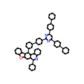 c1ccc(-c2ccc(-c3cc(-c4ccc(-c5ccccc5)cc4)nc(-c4ccc(-c5cccc(-c6c7c(cc8c(-c9ccccc9)nc9ccccc9c68)oc6ccccc67)c5)cc4)n3)cc2)cc1